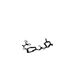 Cc1cc(C)cc(NC(=O)Cc2ccc(OC(C)C(=O)O)cc2)c1